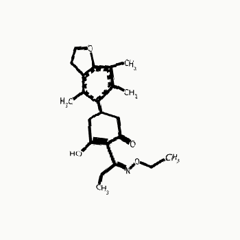 CCO/N=C(/CC)C1=C(O)CC(c2c(C)c(C)c3c(c2C)CCO3)CC1=O